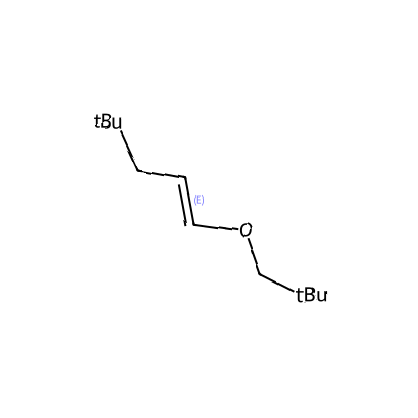 CC(C)(C)C/C=C/OCC(C)(C)C